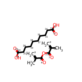 C=C(C)C(=O)OC(=O)C(=C)C.O=C(O)CCCCCCCCC(=O)O